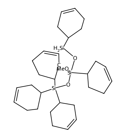 CO[Si](O[SiH2]C1CC=CCC1)(O[Si](C1CC=CCC1)(C1CC=CCC1)C1CC=CCC1)C1CC=CCC1